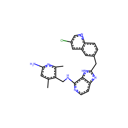 Cc1cc(N)nc(C)c1CNc1nccc2nc(Cc3ccc4ncc(Cl)cc4c3)[nH]c12